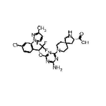 Cc1ccn(-c2cc(Cl)ccc2[C@@H](Oc2nc(N)nc(N3CCC4(CC3)CN[C@H](C(=O)O)C4)n2)C(F)(F)F)n1